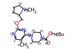 Cc1cnc(OCC2CCCN2C)nc1N1CCN(C(=O)OC(C)(C)C)CC1